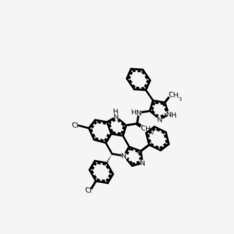 C=C(Nc1n[nH]c(C)c1-c1ccccc1)c1[nH]c2cc(Cl)cc3c2c1-c1c(-c2ccccc2)ncn1[C@@H]3c1ccc(Cl)cc1